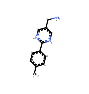 Cc1ccc(-c2ncc(CN)cn2)cc1